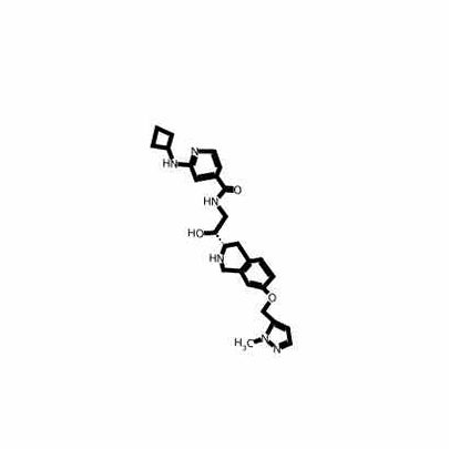 Cn1nccc1COc1ccc2c(c1)CN[C@H](C(O)CNC(=O)c1ccnc(NC3CCC3)c1)C2